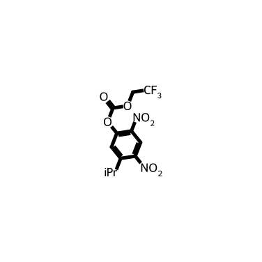 CC(C)c1cc(OC(=O)OCC(F)(F)F)c([N+](=O)[O-])cc1[N+](=O)[O-]